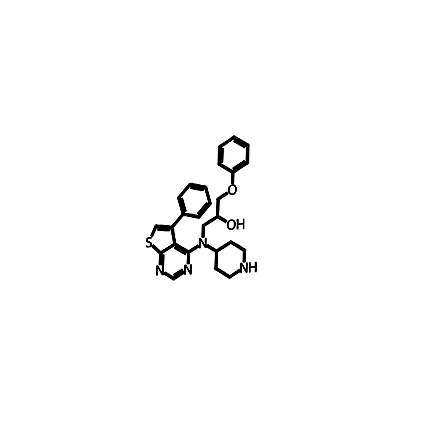 OC(COc1ccccc1)CN(c1ncnc2scc(-c3ccccc3)c12)C1CCNCC1